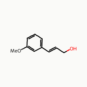 COc1cccc(/C=C/CO)c1